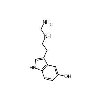 NCNCCc1c[nH]c2ccc(O)cc12